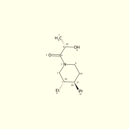 CC[C@@H]1CN(C(=O)[C@H](C)O)CC[C@H]1C(C)C